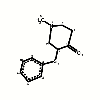 CN1CCC(=O)C(Sc2ccccc2)C1